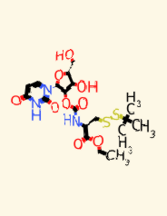 CCOC(=O)[C@H](CSSC(C)(C)C)NC(=O)OC1C(O)[C@@H](CO)O[C@H]1n1ccc(=O)[nH]c1=O